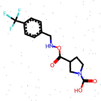 O=C(ONCc1ccc(C(F)(F)F)cc1)C1CCN(C(=O)O)C1